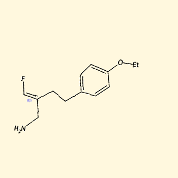 CCOc1ccc(CC/C(=C\F)CN)cc1